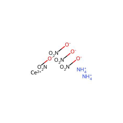 O=[N+]([O-])[O-].O=[N+]([O-])[O-].O=[N+]([O-])[O-].O=[N+]([O-])[O-].[Ce+2].[NH4+].[NH4+]